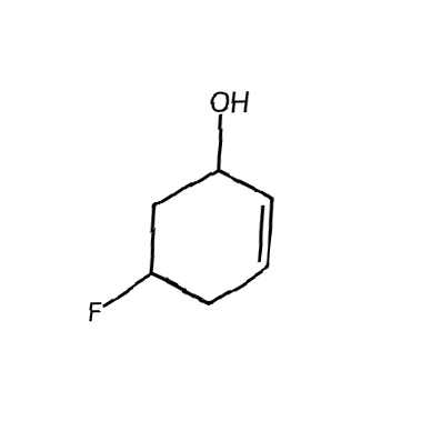 OC1C=CCC(F)C1